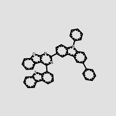 c1ccc(-c2ccc3c(c2)c2cc(-c4nc(-c5cccc6c5sc5ccccc56)c5c(n4)oc4ccccc45)ccc2n3-c2ccccc2)cc1